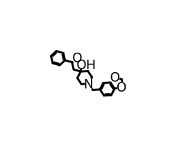 O=C(CC1(O)CCN(Cc2ccc3c(c2)OCO3)CC1)c1ccccc1